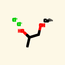 CC(O)CO.[Cl-].[Cl-].[Co+2]